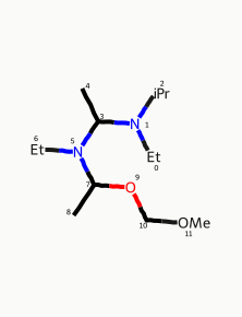 CCN(C(C)C)C(C)N(CC)C(C)OCOC